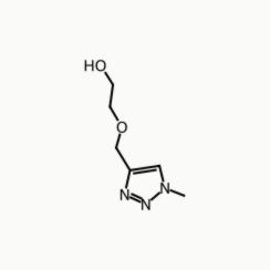 Cn1cc(COCCO)nn1